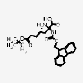 CC(C)(C)OC(=O)CCCCC(N)(NC(=O)OCC1c2ccccc2-c2ccccc21)C(=O)O